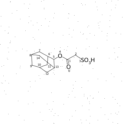 O=C(CS(=O)(=O)O)OC1C2CC3CC(C2)CC1C3